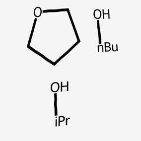 C1CCOC1.CC(C)O.CCCCO